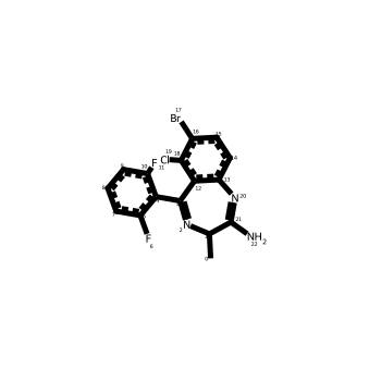 CC1N=C(c2c(F)cccc2F)c2c(ccc(Br)c2Cl)N=C1N